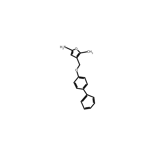 Cc1oc(N)cc1COc1ccc(-c2ccccc2)cc1